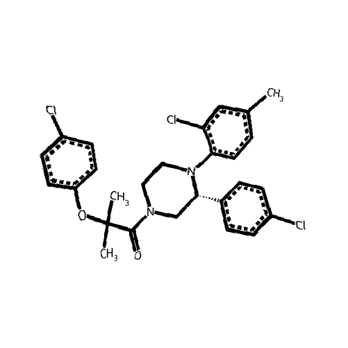 Cc1ccc(N2CCN(C(=O)C(C)(C)Oc3ccc(Cl)cc3)C[C@H]2c2ccc(Cl)cc2)c(Cl)c1